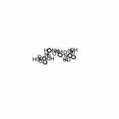 O=C(Nc1cccc(C(=O)Nc2cc(S(=O)(=O)O)c3ccccc3c2O)c1)Nc1cccc(C(=O)Nc2cc(S(=O)(=O)O)c3ccccc3c2O)c1